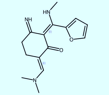 CN/C(=C1\C(=N)CC/C(=C\N(C)C)C1=O)c1ccco1